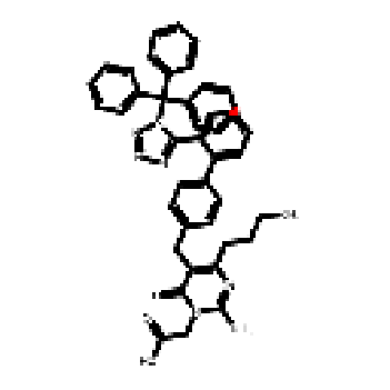 CCCCc1nc(N)n(CC(=O)O)c(=O)c1Cc1ccc(-c2ccccc2-c2nnnn2C(c2ccccc2)(c2ccccc2)c2ccccc2)cc1